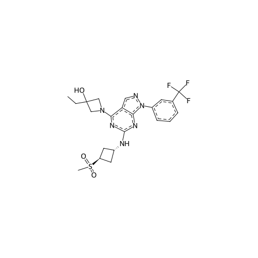 CCC1(O)CN(c2nc(N[C@H]3C[C@H](S(C)(=O)=O)C3)nc3c2cnn3-c2cccc(C(F)(F)F)c2)C1